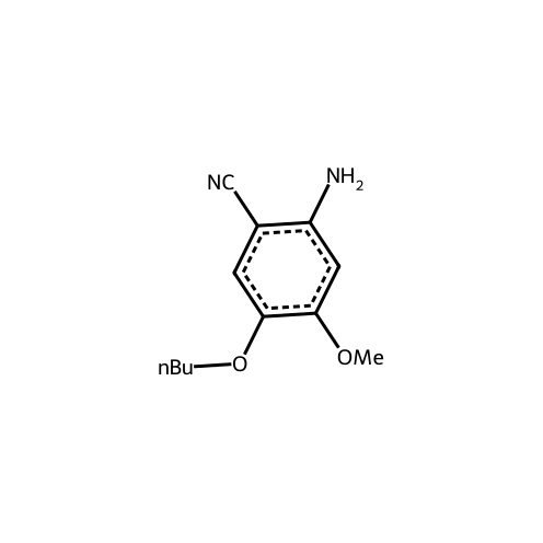 CCCCOc1cc(C#N)c(N)cc1OC